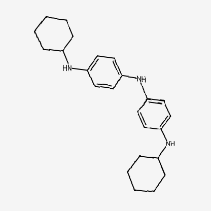 c1cc(NC2CCCCC2)ccc1Nc1ccc(NC2CCCCC2)cc1